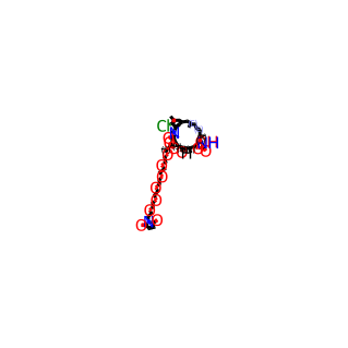 C/C1=C\C=C\[C@@H](C)[C@@]2(O)CC(OC(=O)N2)[C@@H](C)[C@@H]2O[C@@]2(C)[C@@H](OC(=O)[C@H](C)OCCOCCOCCOCCOCCOCCN2C(=O)C=CC2=O)CC(=O)N(C)c2cc(cc(C)c2Cl)C1